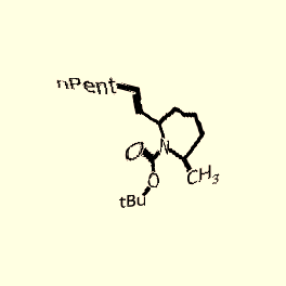 CCCCCC=CC1CCCC(C)N1C(=O)OC(C)(C)C